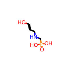 O=P(O)(O)CNCC=CO